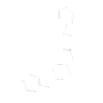 Cc1ccc2sc(CC(=O)CC3CCN(Cc4ccccc4)CC3)cc2c1